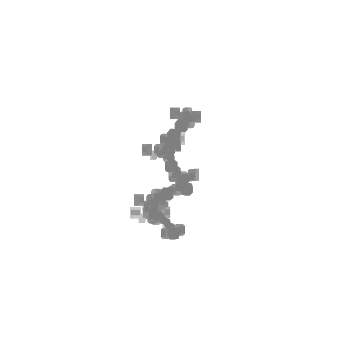 CNS(=O)(=O)c1ccc(C2=CCN3C(=O)c4cc(OC)c(OCc5cccc(CC(=O)N6C[C@@H](CCl)c7c6cc(OCc6ccc(NC(=O)[C@H](C)NC(=O)C(NC(=O)CCCCCN8C(=O)C=CC8=O)C(C)C)cc6)c6ccccc76)c5)cc4N=C[C@@H]3C2)cc1